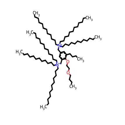 CCCCCCCCCCCC[N+](CCCCCCCCCCCC)(CCCCCCCCCCCC)Cc1cc(CCCC)c(OCCOCCCC)c(C[N+](CCCCCCCCCCCC)(CCCCCCCCCCCC)CCCCCCCCCCCC)c1